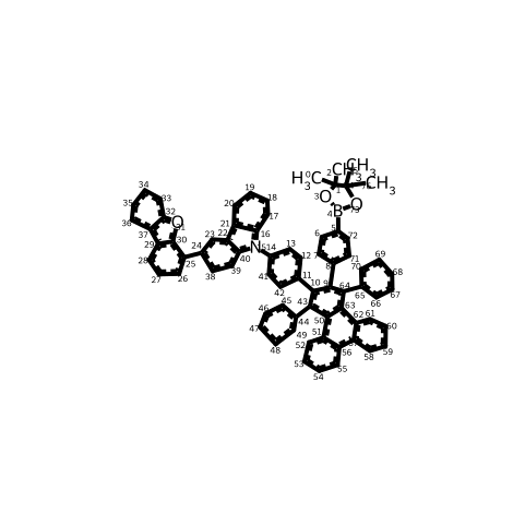 CC1(C)OB(c2ccc(-c3c(-c4ccc(-n5c6ccccc6c6cc(-c7cccc8c7oc7ccccc78)ccc65)cc4)c(-c4ccccc4)c4c5ccccc5c5ccccc5c4c3-c3ccccc3)cc2)OC1(C)C